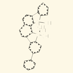 C[Si]1(C)c2ccccc2-c2ccc3ccc4c(c3c21)[Si](C)(C)c1ccc(-c2ccccc2)cc1-4